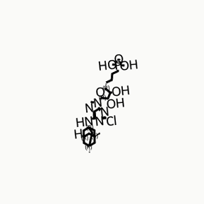 C[C@]12C[C@@H]3C[C@](C)(C1)C[C@@](Nc1nc(Cl)nc4c1ncn4[C@@H]1O[C@H](CCCCP(=O)(O)O)C(O)C1O)(C3)C2